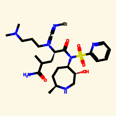 CCN=C=[N+](CCCN(C)C)[C@@H](CC(C)C(N)=O)C(=O)N([C@@H]1CC[C@H](C)NC[C@H]1O)S(=O)(=O)c1ccccn1